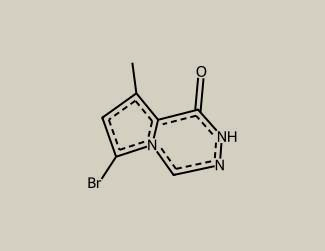 Cc1cc(Br)n2cn[nH]c(=O)c12